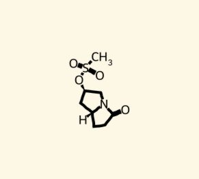 CS(=O)(=O)O[C@@H]1C[C@H]2CCC(=O)N2C1